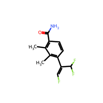 Cc1c(C(N)=O)ccc(C(=CF)C(F)F)c1C